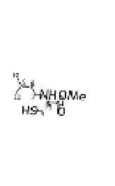 COC(=O)[C@H](CS)NCC=C(C)C